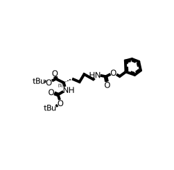 CC(C)(C)OC(=O)N[C@@H](CCCCNC(=O)OCc1ccccc1)C(=O)OC(C)(C)C